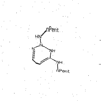 CCCCCNC1=CC=NN(NCCCCC)N1